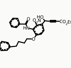 CCOC(=O)C#CC(O)c1ccc(OCCCCc2ccccc2)c(NC(=O)c2ccccc2)c1[N+](=O)[O-]